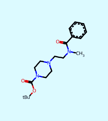 CN(CCN1CCN(C(=O)OC(C)(C)C)CC1)C(=O)c1ccccc1